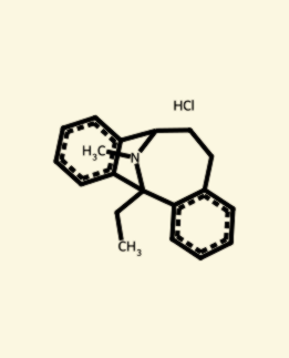 CCC12c3ccccc3CCC(c3ccccc31)N2C.Cl